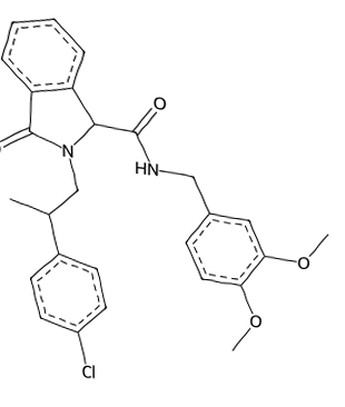 COc1ccc(CNC(=O)C2c3ccccc3C(=O)N2CC(C)c2ccc(Cl)cc2)cc1OC